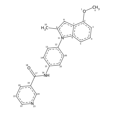 COc1cccc2c1cc(C)n2-c1ccc(NC(=O)c2cccnc2)cc1